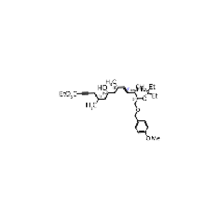 CCOC(=O)C#CC[C@H](C)C[C@H](O)C[C@H](C)/C=C/[C@@H](C)[C@H](COCc1ccc(OC)cc1)O[Si](CC)(CC)CC